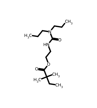 CCCN(CCC)C(=O)NCCOC(=O)C(C)(C)CC